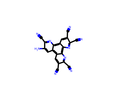 N#Cc1cc2c3cc(N)c(C#N)nc3c3cc(C#N)c(C#N)nc3c2nc1C#N